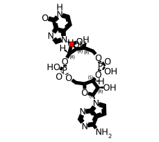 Nc1ncnc2c1ccn2[C@@H]1OC2COP(=O)(O)O[C@@H]3[C@H](O)[C@@H](COP(=O)(O)O[C@H]2[C@H]1O)O[C@H]3n1cnc2c(=O)[nH]ccc21